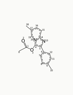 CC(=O)Oc1c(-c2ccc(C)cc2)nc2ccc(C)cn12